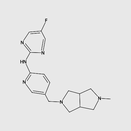 CN1CC2CN(Cc3ccc(Nc4ncc(F)cn4)nc3)CC2C1